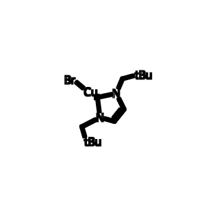 CC(C)(C)Cn1ccn(CC(C)(C)C)[c]1=[Cu][Br]